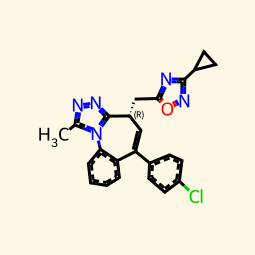 Cc1nnc2n1-c1ccccc1C(c1ccc(Cl)cc1)=C[C@H]2Cc1nc(C2CC2)no1